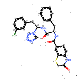 O=C1CSc2cc(C(=O)NC(Cc3ccccc3)C(=O)NC(Cc3cccc(Cl)c3)n3cnnn3)ccc2N1